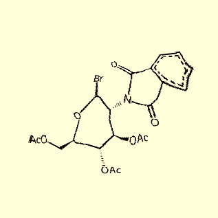 CC(=O)OC[C@H]1OC(Br)[C@H](N2C(=O)c3ccccc3C2=O)[C@@H](OC(C)=O)[C@@H]1OC(C)=O